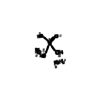 [Nb].[O]=[Sb]([OH])([OH])[OH].[PbH2]